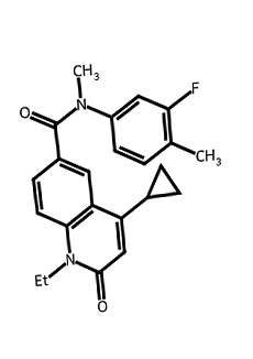 CCn1c(=O)cc(C2CC2)c2cc(C(=O)N(C)c3ccc(C)c(F)c3)ccc21